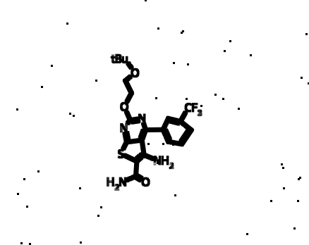 CC(C)(C)OCCOc1nc(-c2cccc(C(F)(F)F)c2)c2c(N)c(C(N)=O)sc2n1